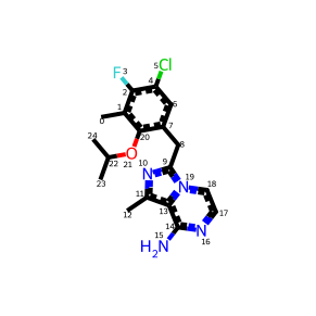 Cc1c(F)c(Cl)cc(Cc2nc(C)c3c(N)nccn23)c1OC(C)C